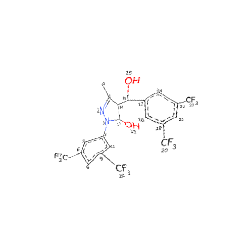 CC1=NN(c2cc(C(F)(F)F)cc(C(F)(F)F)c2)C(O)C1C(O)c1cc(C(F)(F)F)cc(C(F)(F)F)c1